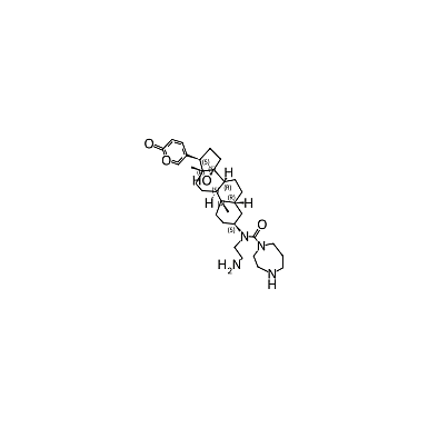 C[C@]12CC[C@H](N(CCN)C(=O)N3CCCNCC3)C[C@H]1CC[C@@H]1[C@@H]2CC[C@]2(C)[C@@H](c3ccc(=O)oc3)CC[C@]12O